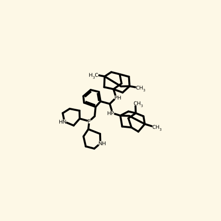 CC12CC3CC(C)(C1)CC(PC(PC14CC5CC(C)(CC(C)(C5)C1)C4)c1ccccc1CP(C1CCCNC1)C1CCCNC1)(C3)C2